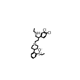 CCNCC(CCN1CCC(c2ccccc2[S@@+]([O-])CC)CC1)c1ccc(Cl)c(Cl)c1